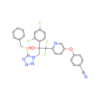 N#Cc1ccc(Oc2ccc(C(F)(F)C(O)(Cn3nnnc3SCc3ccccc3)c3ccc(F)cc3F)nc2)cc1